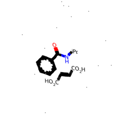 CC(C)NC(=O)c1ccccc1.O=C(O)/C=C/C(=O)O